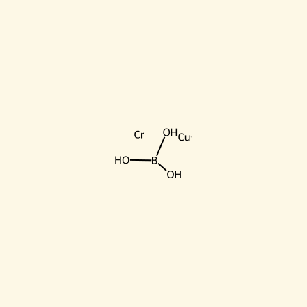 OB(O)O.[Cr].[Cu]